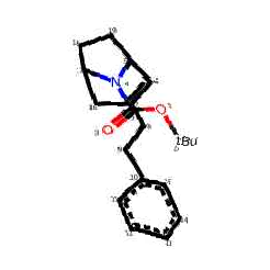 CC(C)(C)OC(=O)N1C2C=C(CCc3ccccc3)CC1CC2